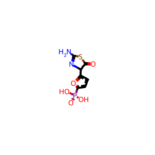 NC1=NC(c2ccc(P(=O)(O)O)o2)C(=O)S1